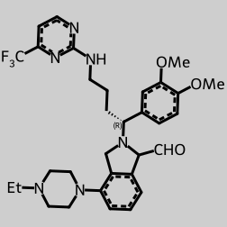 CCN1CCN(c2cccc3c2CN([C@H](CCCNc2nccc(C(F)(F)F)n2)c2ccc(OC)c(OC)c2)C3C=O)CC1